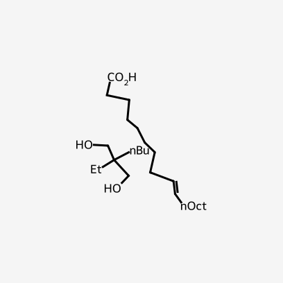 CCCCC(CC)(CO)CO.CCCCCCCCC=CCCCCCCCC(=O)O